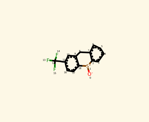 [O-][S+]1c2ccccc2Cc2cc(C(F)(F)F)ccc21